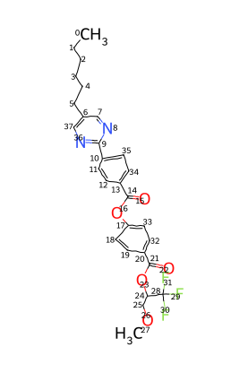 CCCCCCc1cnc(-c2ccc(C(=O)Oc3ccc(C(=O)OC(COC)C(F)(F)F)cc3)cc2)nc1